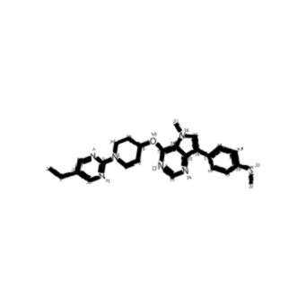 CCc1cnc(N2CCC(Oc3ncnc4c(-c5ccc(SC)cc5)cn(C)c34)CC2)nc1